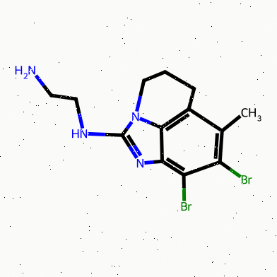 Cc1c(Br)c(Br)c2nc(NCCN)n3c2c1CCC3